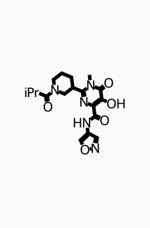 CC(C)C(=O)N1CCCC(c2nc(C(=O)Nc3cnoc3)c(O)c(=O)n2C)C1